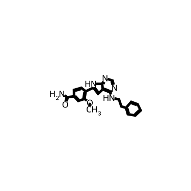 COc1cc(C(N)=O)ccc1-c1cc2c(NCCc3ccccc3)ncnc2[nH]1